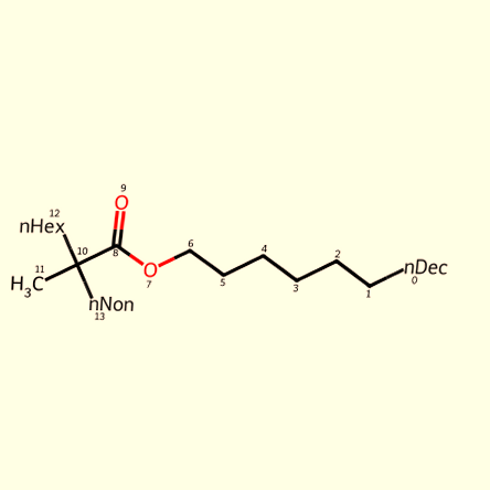 CCCCCCCCCCCCCCCCOC(=O)C(C)(CCCCCC)CCCCCCCCC